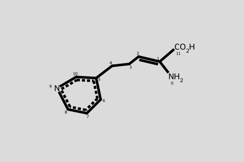 NC(=CCCc1cccnc1)C(=O)O